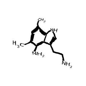 Cc1cc(C)c2[nH]cc(CCN)c2c1N